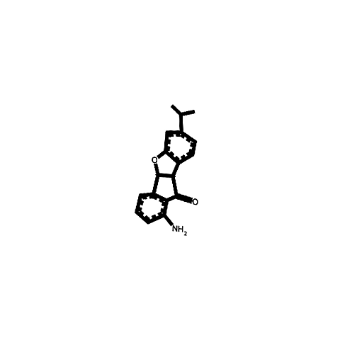 CC(C)c1ccc2c(c1)O[C]1[C]2C(=O)c2c(N)cccc21